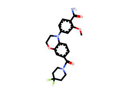 COc1cc(N2CCOc3cc(C(=O)N4CCC(F)(F)CC4)ccc32)ccc1C(N)=O